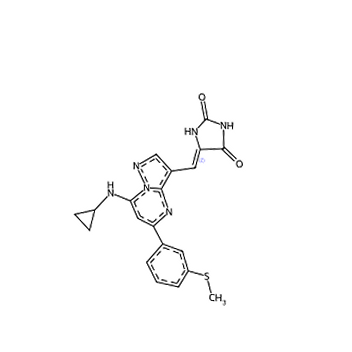 CSc1cccc(-c2cc(NC3CC3)n3ncc(/C=C4\NC(=O)NC4=O)c3n2)c1